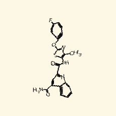 Cc1nc(Oc2cccc(F)c2)sc1NC(=O)c1cc(C(N)=O)c2ccccc2n1